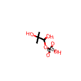 CC(C)(O)C(O)[O][Mo](=[O])(=[O])[OH]